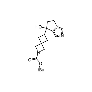 CC(C)(C)OC(=O)N1CC2(CC(C3(O)CCn4cncc43)C2)C1